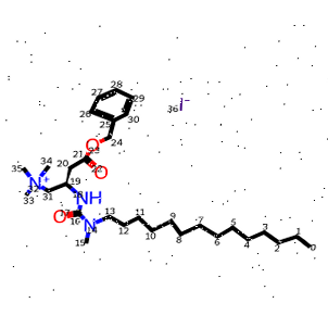 CCCCCCCCCCCCCCN(C)C(=O)N[C@H](CC(=O)OCc1ccccc1)C[N+](C)(C)C.[I-]